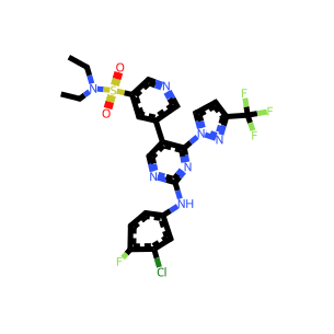 CCN(CC)S(=O)(=O)c1cncc(-c2cnc(Nc3ccc(F)c(Cl)c3)nc2-n2ccc(C(F)(F)F)n2)c1